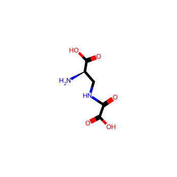 N[C@H](CNC(=O)C(=O)O)C(=O)O